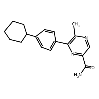 Cc1ncc(C(N)=O)nc1-c1ccc(C2CCCCC2)cc1